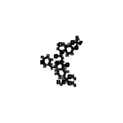 CCN(C(=O)Cn1nc(Cc2cccnc2)c2ccc(C(C)(C)C)cc2c1=O)c1ccc2c(c1)OC(F)(F)O2